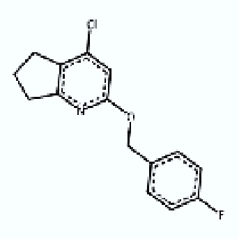 Fc1ccc(COc2cc(Cl)c3c(n2)CCC3)cc1